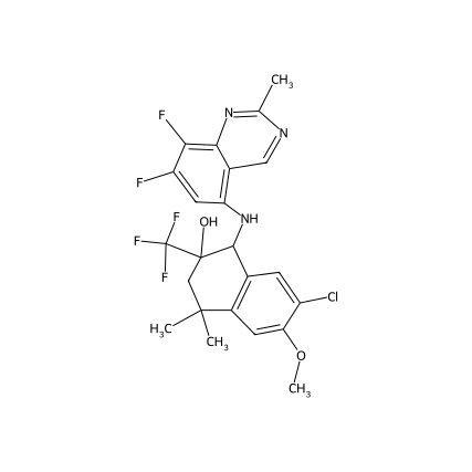 COc1cc2c(cc1Cl)C(Nc1cc(F)c(F)c3nc(C)ncc13)C(O)(C(F)(F)F)CC2(C)C